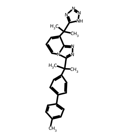 Cc1ccc(-c2ccc(C(C)(C)c3nnc4c(C(C)(C)c5nnn[nH]5)cccn34)cc2)cc1